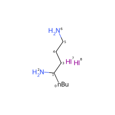 CCCCC(N)CCCN.I.I